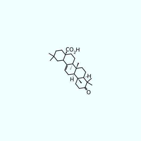 CC1(C)CC[C@]2(C(=O)O)CC[C@]3(C)C(=CC[C@@H]4[C@@]5(C)CCC(=O)C(C)(C)[C@@H]5CC[C@]43C)C2C1